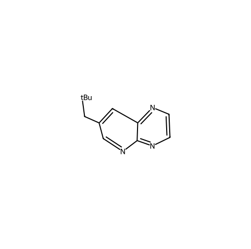 CC(C)(C)Cc1cnc2nccnc2c1